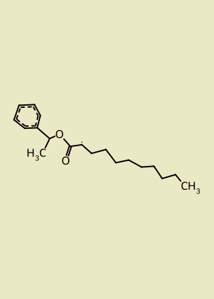 CCCCCCCCC[CH]C(=O)OC(C)c1ccccc1